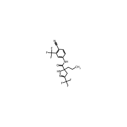 CCCC1(C(=O)Nc2ccc(C#N)c(C(F)(F)F)c2)CC(C(F)(F)F)=NN1